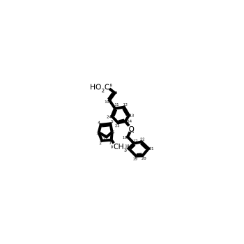 CC1CC2C=CC1C2.O=C(O)C=Cc1ccc(OCc2ccccc2)cc1